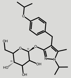 Cc1c(Cc2ccc(OC(C)C)cc2)c(O[C@@H]2OC(CO)[C@@H](O)C(O)C2O)nn1C(C)C